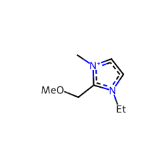 CCn1cc[n+](C)c1COC